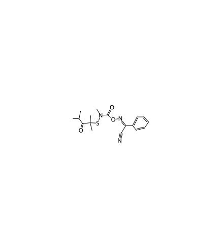 CC(C)C(=O)C(C)(C)SN(C)C(=O)O/N=C(\C#N)c1ccccc1